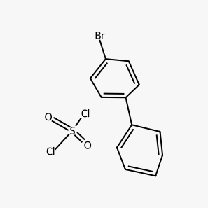 Brc1ccc(-c2ccccc2)cc1.O=S(=O)(Cl)Cl